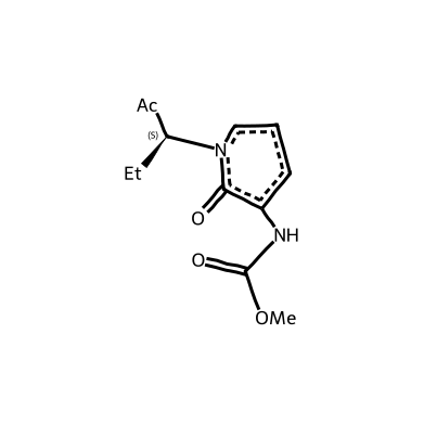 CC[C@@H](C(C)=O)n1cccc(NC(=O)OC)c1=O